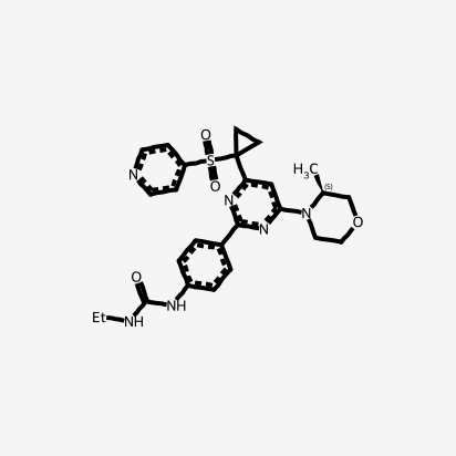 CCNC(=O)Nc1ccc(-c2nc(N3CCOC[C@@H]3C)cc(C3(S(=O)(=O)c4ccncc4)CC3)n2)cc1